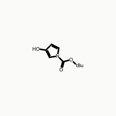 CC(C)(C)OC(=O)n1ccc(O)c1